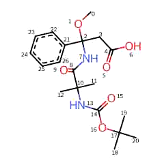 COC(CC(=O)O)(NC(=O)C(C)(C)NC(=O)OC(C)(C)C)c1ccccc1